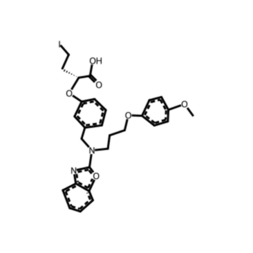 COc1ccc(OCCCN(Cc2cccc(O[C@H](CCI)C(=O)O)c2)c2nc3ccccc3o2)cc1